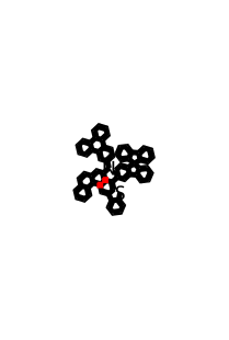 c1ccc2c(c1)-c1ccccc1C21c2ccccc2-c2cc(-c3cccc4c3sc3ccccc34)c(N(c3ccc4c(ccc5ccccc54)c3)c3ccc4c5ccccc5c5ccccc5c4c3)cc21